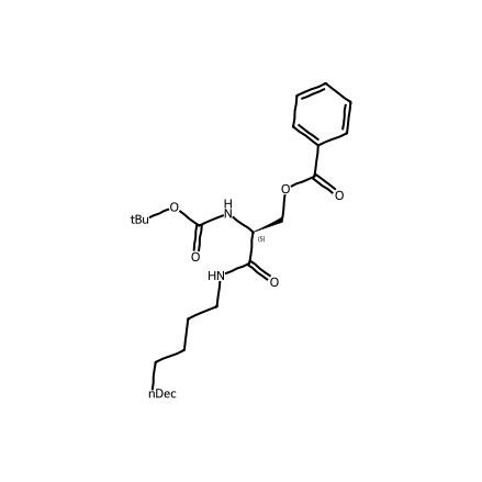 CCCCCCCCCCCCCCNC(=O)[C@H](COC(=O)c1ccccc1)NC(=O)OC(C)(C)C